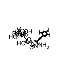 Nc1nc(=O)n([C@H]2C[C@H](O)[C@@H](COP(=O)(O)OP(=O)(O)OP(=O)(O)O)O2)cc1C#Cc1cc(I)c(I)cc1I